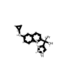 CC(C)[C@@](O)(c1c[nH]nn1)c1ccc2cc(OC3CC3)ccc2n1